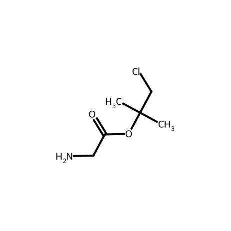 CC(C)(CCl)OC(=O)CN